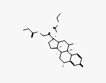 CCOC(=O)O[C@]1(C(=O)COC(=O)CCl)CC[C@H]2[C@@H]3C[C@H](F)C4=CC(=O)C=C[C@]4(C)[C@H]3C(O)C[C@@]21C